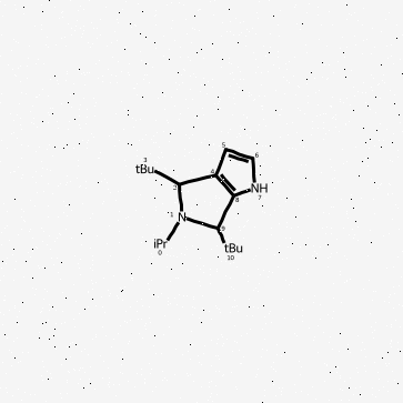 CC(C)N1C(C(C)(C)C)c2cc[nH]c2C1C(C)(C)C